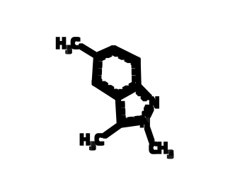 Cc1ccc2nn(C)c(C)c2c1